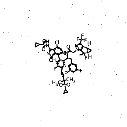 Cn1nc(NS(=O)(=O)C2CC2)c2c(Cl)ccc(-c3cc(I)c(C#CC(C)(C)S(=O)(=O)C4CC4)nc3[C@H](Cc3cc(F)cc(F)c3)NC(=O)Cn3nc(C(F)(F)F)c4c3C(F)(F)[C@@H]3C[C@H]43)c21